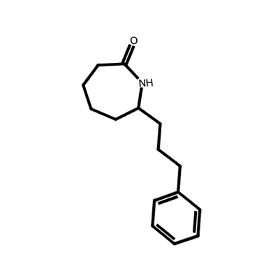 O=C1CCCCC(CCCc2ccccc2)N1